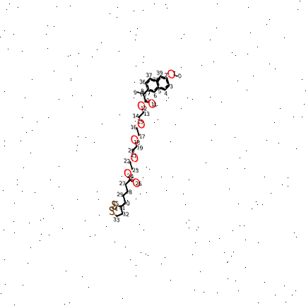 COc1ccc2cc([C@H](C)C(=O)OCCOCCOCCOCCOC(=O)CCCCC3CCSS3)ccc2c1